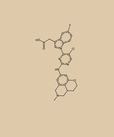 CN1Cc2cc(Nc3ncc(Cl)c(-n4cc(CC(=O)O)c5cc(F)ccc54)n3)cc3c2C(CCO3)C1